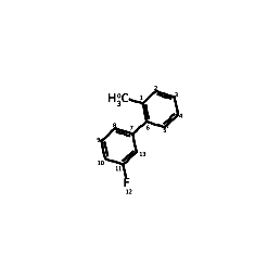 Cc1ccc[c]c1-c1cccc(F)c1